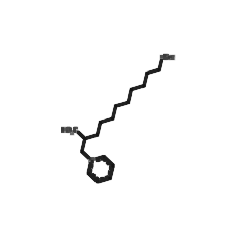 CCCCCCCCCCCCCCCCCCCC(C[n+]1ccccc1)C(=O)O